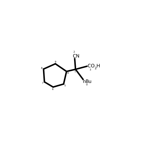 CCCCC(C#N)(C(=O)O)C1CCCCC1